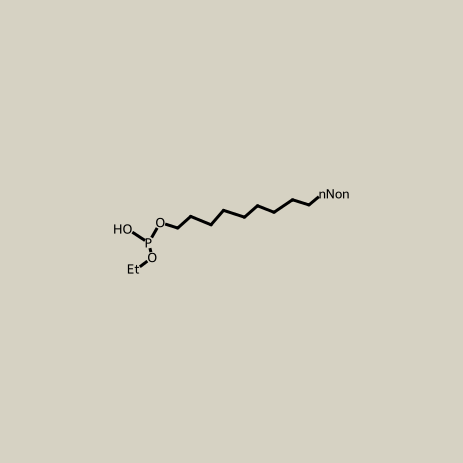 CCCCCCCCCCCCCCCCCCOP(O)OCC